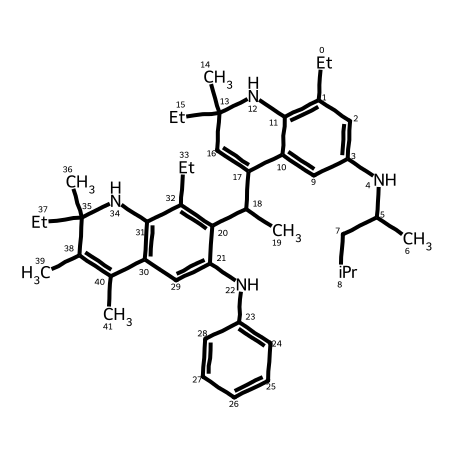 CCc1cc(NC(C)CC(C)C)cc2c1NC(C)(CC)C=C2C(C)c1c(Nc2ccccc2)cc2c(c1CC)NC(C)(CC)C(C)=C2C